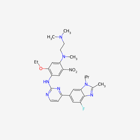 CCOc1cc(N(C)CCN(C)C)c([N+](=O)[O-])cc1Nc1nccc(-c2cc(F)c3nc(C)n(C(C)C)c3c2)n1